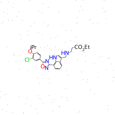 CCOC(=O)CCNCc1c[nH]c2c(-c3noc(-c4ccc(OC(C)C)c(Cl)c4)n3)cccc12